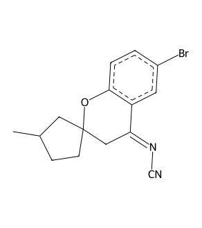 CC1CCC2(CC(=NC#N)c3cc(Br)ccc3O2)C1